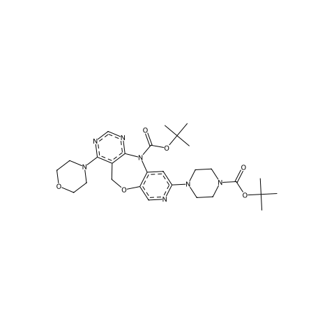 CC(C)(C)OC(=O)N1CCN(c2cc3c(cn2)OCc2c(N4CCOCC4)ncnc2N3C(=O)OC(C)(C)C)CC1